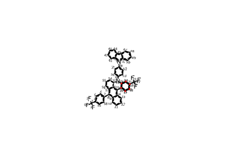 FC(F)(F)c1ccc(-c2c3ccccc3c(-c3ccc(C(F)(F)F)cc3)c3c(N(c4ccccc4)c4ccc(-n5c6ccccc6c6ccccc65)cc4)cccc23)cc1